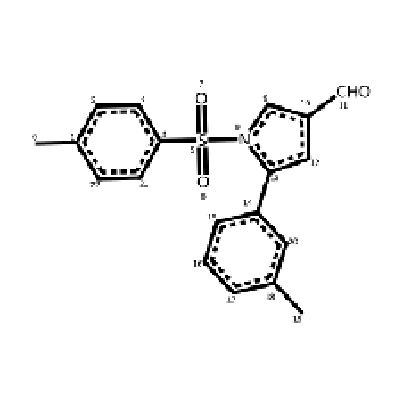 Cc1ccc(S(=O)(=O)n2cc(C=O)cc2-c2cccc(C)c2)cc1